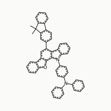 CC1(C)c2ccccc2-c2ccc(-c3cc4c5ccccc5oc4c4c3c3ccccc3n4-c3ccc(N(c4ccccc4)c4ccccc4)cc3)cc21